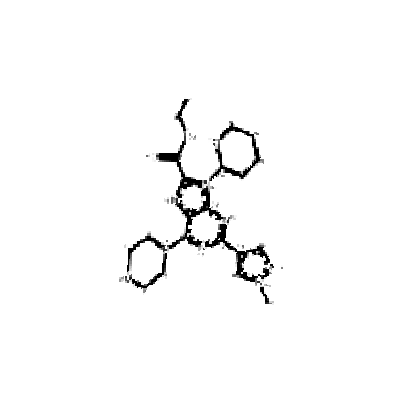 CCOC(=O)c1nc2c(N3CCOCC3)nc(-c3cnn(C)c3)nc2n1C1CCCCO1